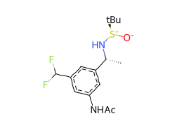 CC(=O)Nc1cc(C(F)F)cc([C@@H](C)N[S@+]([O-])C(C)(C)C)c1